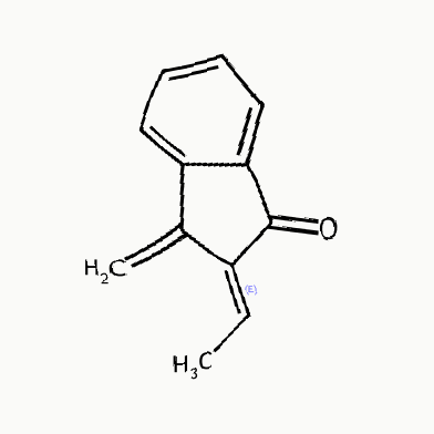 C=C1/C(=C\C)C(=O)c2ccccc21